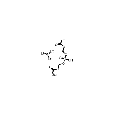 CC(C)(C)C(=O)OCOP(=O)(O)OCOC(=O)C(C)(C)C.CCN(CC)CC